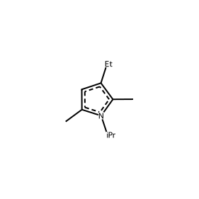 CCc1cc(C)n(C(C)C)c1C